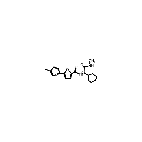 CNC(=O)[C@@H](NC(=O)c1ccc(-c2ccc(I)cn2)o1)C1CCCCC1